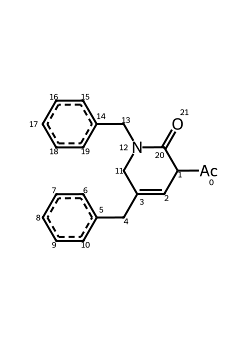 CC(=O)C1C=C(Cc2ccccc2)CN(Cc2ccccc2)C1=O